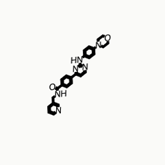 O=C(NCc1cccnc1)c1ccc(-c2ccnc(Nc3ccc(N4CCOCC4)cc3)n2)cc1